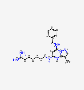 CC(C)c1cnn2c(NCc3ccccc3)cc(NCCCCCCC(=N)N)nc12